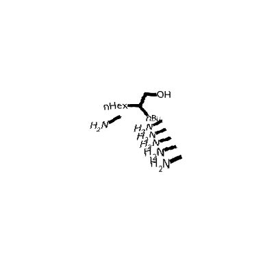 CCCCCCC(CO)CCCC.CN.CN.CN.CN.CN.CN